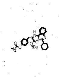 CN(C)C(=O)Oc1ccc(C[C@H](Nc2nc(C3CCCCC3)nc3ccccc23)C(=O)OC(C)(C)C)cc1